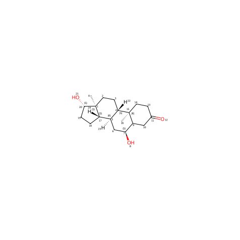 C[C@]12CC[C@H]3[C@@H](C[C@H](O)C4CC(=O)CC[C@@]43C)[C@@H]1CC[C@@H]2O